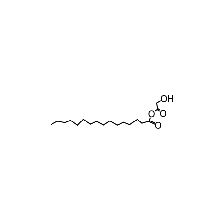 CCCCCCCCCCCCCCCC(=O)OC(=O)CO